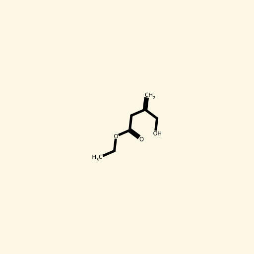 C=C(CO)CC(=O)OCC